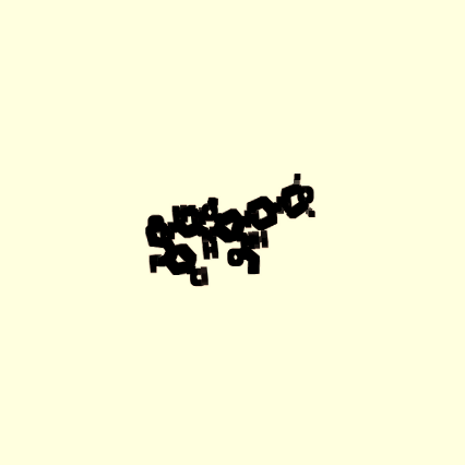 C=CC(=O)Nc1cc(Nc2cc(N3OCCC3c3ccc(Cl)cc3F)ncn2)c(OC)cc1N1CCC(N2C[C@@H](C)O[C@@H](C)C2)CC1